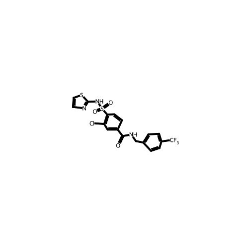 O=C(NCc1ccc(C(F)(F)F)cc1)c1ccc(S(=O)(=O)Nc2nccs2)c(Cl)c1